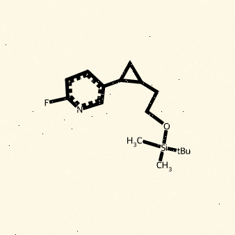 CC(C)(C)[Si](C)(C)OCCC1CC1c1ccc(F)nc1